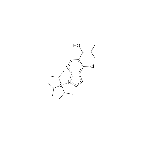 CC(C)C(O)c1cnc2c(ccn2[Si](C(C)C)(C(C)C)C(C)C)c1Cl